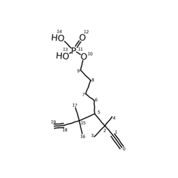 C#CC(C)(C)C(CCCCOP(=O)(O)O)C(C)(C)C#C